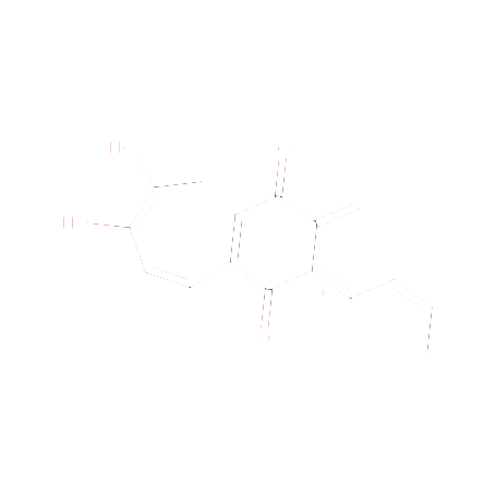 C=C1C(=O)C2=C(C=CC(O)=C(O)C2)C(=O)/C1=C/C=C\C